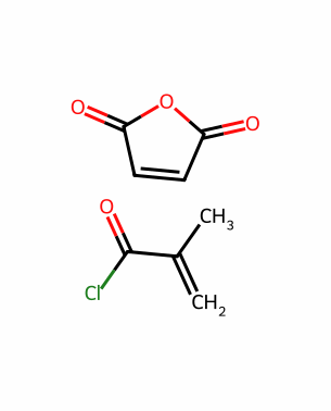 C=C(C)C(=O)Cl.O=C1C=CC(=O)O1